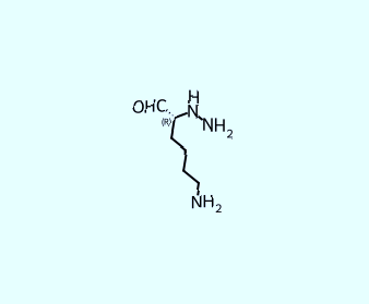 NCCCC[C@H](C=O)NN